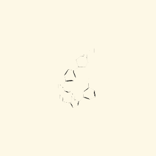 CN1CCC(c2ccc(Nc3ncc4ccc(-c5cccc(Cl)c5)n4n3)cc2)CC1